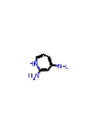 NC1=CC=CNC(N)=C1